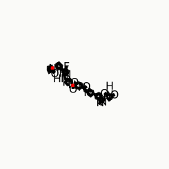 Cn1nc(N2CCC(=O)NC2=O)c2ccc(C3CCN(CC(=O)N4CCC(O)(C(=O)N5CCC(Nc6ncc(F)c(-c7cccc(-n8ccccc8=O)c7)n6)CC5)CC4)CC3)cc21